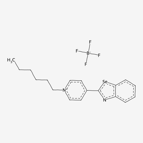 CCCCCC[n+]1ccc(-c2nc3ccccc3[se]2)cc1.F[B-](F)(F)F